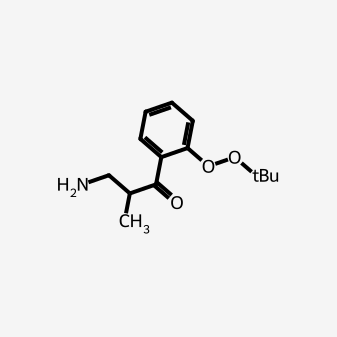 CC(CN)C(=O)c1ccccc1OOC(C)(C)C